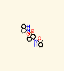 Cc1ccccc1C(=O)Nc1ccc(S(=O)(=O)NC2CCCc3ccccc32)c2ccccc12